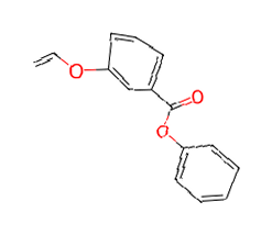 C=COc1cccc(C(=O)Oc2ccccc2)c1